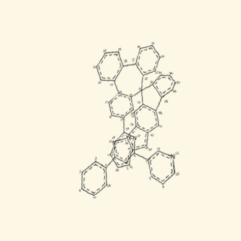 c1ccc(-c2cc(-c3cccnc3)nc(-c3ccc4c(c3)C3(c5ccccc5-c5ccccc5-4)c4ccccc4-c4cc5sc6ccccc6c5cc43)n2)cc1